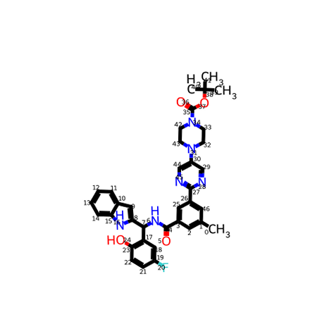 Cc1cc(C(=O)NC(c2cc3ccccc3[nH]2)c2cc(F)ccc2O)cc(-c2ncc(N3CCN(C(=O)OC(C)(C)C)CC3)cn2)c1